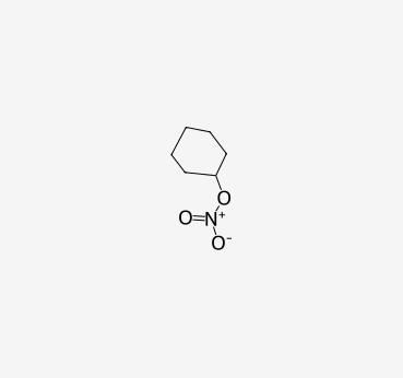 O=[N+]([O-])OC1CCCCC1